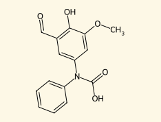 COc1cc(N(C(=O)O)c2ccccc2)cc(C=O)c1O